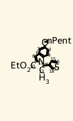 CCCCCOc1ccc2c(c1)cc(C(=O)OCC)n2C(C)c1ccsc1